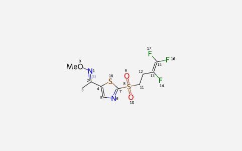 CO/N=C(\C)c1cnc(S(=O)(=O)CCC(F)=C(F)F)s1